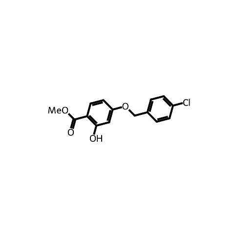 COC(=O)c1ccc(OCc2ccc(Cl)cc2)cc1O